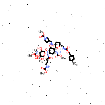 CN(C(=O)OC(C)(C)C)[C@@H]1[C@@H](O)[C@@H](O[C@H]2[C@H](NC(=O)[C@@H](O)CCNC(=O)OC(C)(C)C)C[C@H](NC(=O)OC(C)(C)C)C([C@H]3OC(CNC(=O)OCc4ccc([N+](=O)[O-])cc4)=CC[C@H]3NCC3CCN(C(=O)OC(C)(C)C)C3)[C@@H]2O)OC[C@]1(C)O